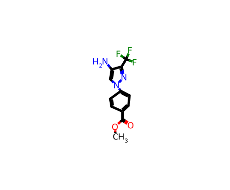 COC(=O)c1ccc(-n2cc(N)c(C(F)(F)F)n2)cc1